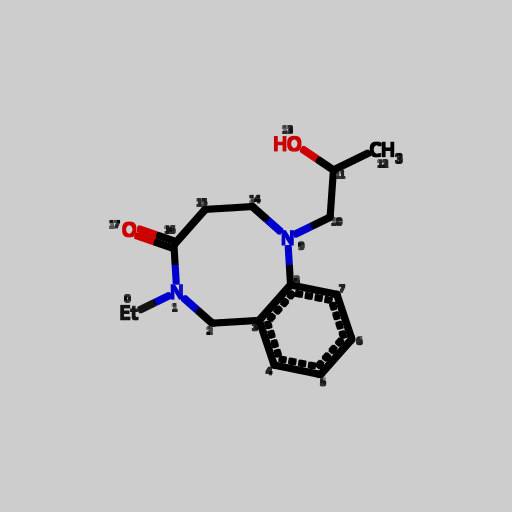 CCN1Cc2ccccc2N(CC(C)O)CCC1=O